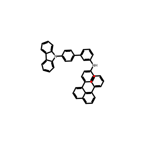 c1ccc(-c2cccc3cccc(-c4ccc(Nc5cccc(-c6ccc(-n7c8ccccc8c8ccccc87)cc6)c5)cc4)c23)cc1